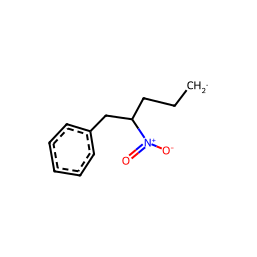 [CH2]CCC(Cc1ccccc1)[N+](=O)[O-]